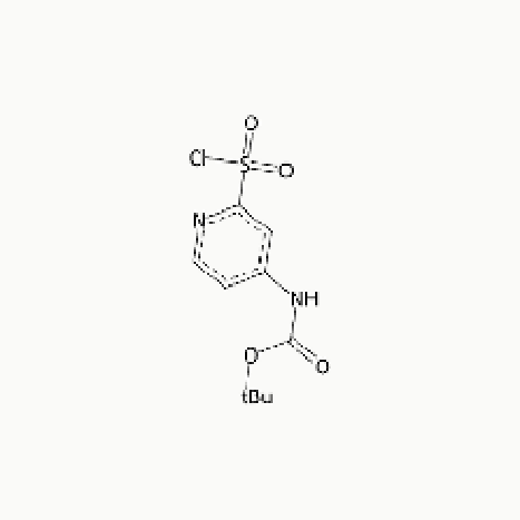 CC(C)(C)OC(=O)Nc1ccnc(S(=O)(=O)Cl)c1